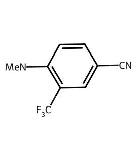 CNc1ccc(C#N)cc1C(F)(F)F